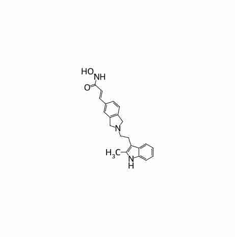 Cc1[nH]c2ccccc2c1CCN1Cc2ccc(C=CC(=O)NO)cc2C1